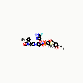 CC(C)c1ccccc1[C@@H]1COCCN1C1CC2(CCN(c3ccc(C(=O)NS(=O)(=O)c4cc5c(c([N+](=O)[O-])c4)S[C@@H](CC4CCC(C)(O)CC4)CO5)c(Oc4cnc5[nH]cc(F)c5c4)c3)CC2)C1